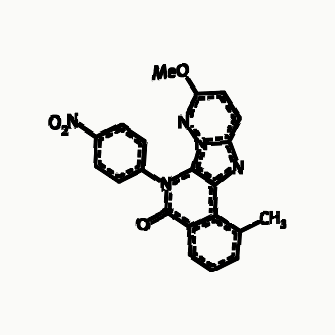 COc1ccc2nc3c4c(C)cccc4c(=O)n(-c4ccc([N+](=O)[O-])cc4)c3n2n1